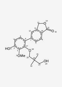 COc1c(O)ccc(-c2ccc3c(c2)COC3=O)c1OCC(C)(C)CO